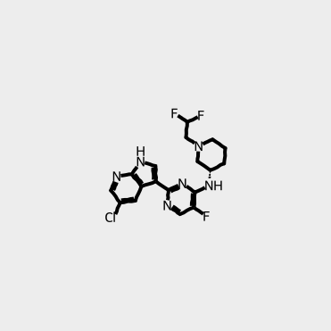 Fc1cnc(-c2c[nH]c3ncc(Cl)cc23)nc1N[C@H]1CCCN(CC(F)F)C1